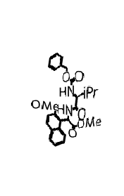 COC(=O)C(NC(=O)[C@@H](NC(=O)OCc1ccccc1)C(C)C)c1c(OC)ccc2ccccc12